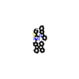 c1ccc2c(c1)-c1ccccc1C21c2ccccc2-c2ccc(-c3nc(-n4c5ccccc5c5cc6ccccc6cc54)c4c(n3)sc3ccccc34)cc21